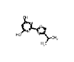 CC(C)c1coc(-c2nc(O)cc(O)n2)n1